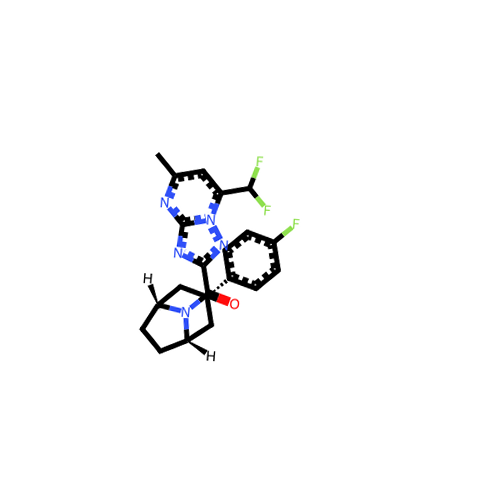 Cc1cc(C(F)F)n2nc(C(=O)N3[C@@H]4CC[C@H]3C[C@@H](c3ccc(F)cc3)C4)nc2n1